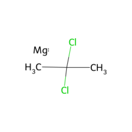 CC(C)(Cl)Cl.[Mg]